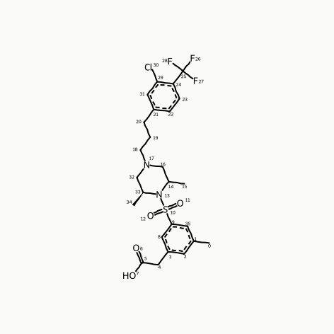 Cc1cc(CC(=O)O)cc(S(=O)(=O)N2C(C)CN(CCCc3ccc(C(F)(F)F)c(Cl)c3)C[C@@H]2C)c1